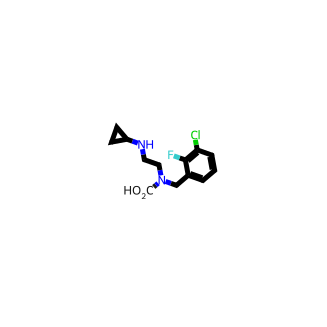 O=C(O)N(CCNC1CC1)Cc1cccc(Cl)c1F